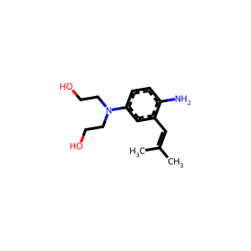 CC(C)=Cc1cc(N(CCO)CCO)ccc1N